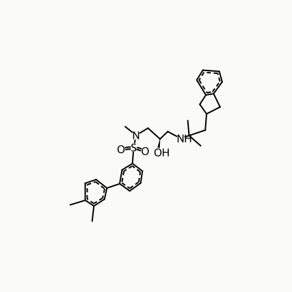 Cc1ccc(-c2cccc(S(=O)(=O)N(C)C[C@H](O)CNC(C)(C)CC3Cc4ccccc4C3)c2)cc1C